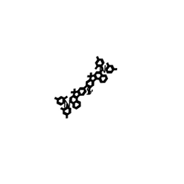 Cc1ccc(N(c2ccc(C)cc2C)c2cc3c(c4ccccc24)-c2cc4c(cc2C3(C)C)-c2cc3c(cc2S4(C)C)-c2c(cc(N(c4ccc(C)cc4C)c4ccc(C)cc4C)c4ccccc24)C3(C)C)c(C)c1